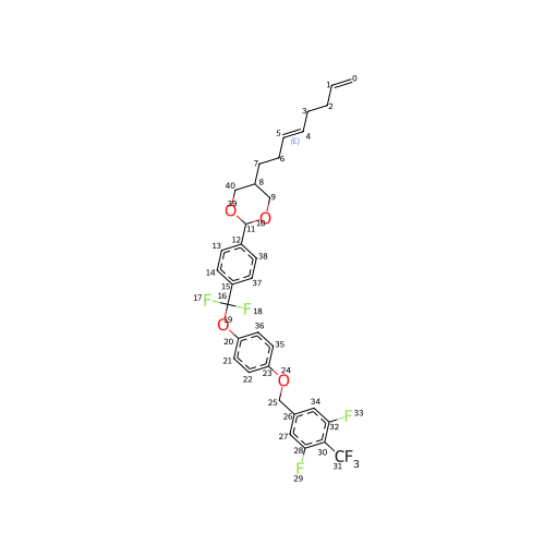 C=CCC/C=C/CCC1COC(c2ccc(C(F)(F)Oc3ccc(OCc4cc(F)c(C(F)(F)F)c(F)c4)cc3)cc2)OC1